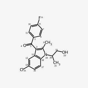 Cc1c(C(=O)c2ccc(F)cc2)c2cc(Cl)ccc2n1C(C)CO